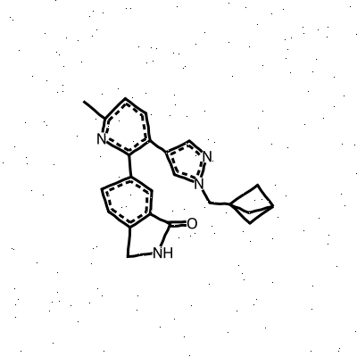 Cc1ccc(-c2cnn(CC34CC(C3)C4)c2)c(-c2ccc3c(c2)C(=O)NC3)n1